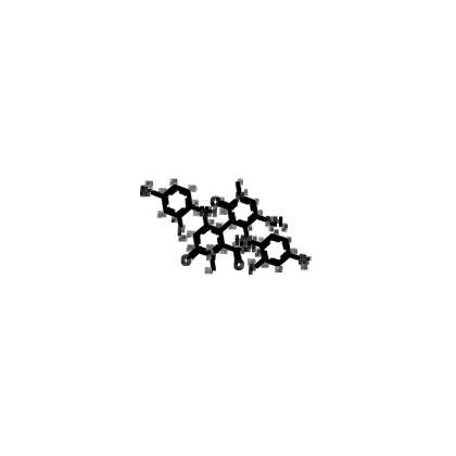 Cn1cc(N)c(Nc2ccc(Br)cc2F)c(-c2c(Nc3ccc(Br)cc3F)cc(=O)n(C)c2C(N)=O)c1=O